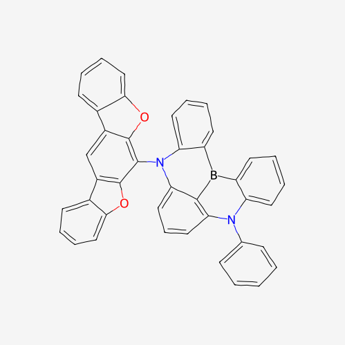 c1ccc(N2c3ccccc3B3c4ccccc4N(c4c5oc6ccccc6c5cc5c4oc4ccccc45)c4cccc2c43)cc1